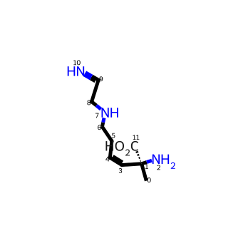 C[C@](N)(/C=C\CCNCC=N)C(=O)O